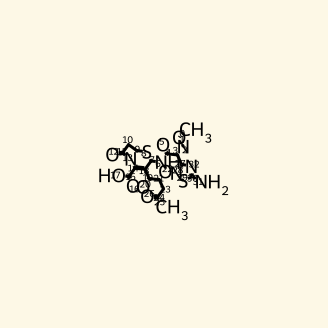 CO/N=C(\C(=O)NC1SC2CC(=O)N2C(C(=O)O)=C1C(=O)C(=O)CC(C)=O)c1nsc(N)n1